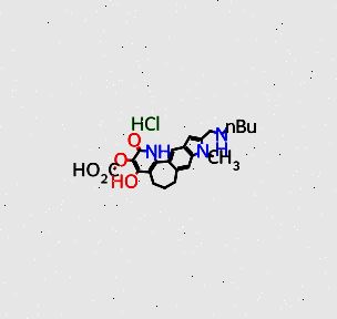 CCCCNCc1cc2cc3c(cc2n1C)CCCc1c-3[nH]c(=O)c(OC(=O)O)c1O.Cl